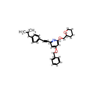 CC(C)Cc1ccc(C#Cc2cc(OCc3ccccc3)cc(OCC3CCCCO3)n2)cc1